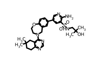 CC(C)(O)CNS(=O)(=O)c1cc(-c2ccc3c(c2)CN(c2ncnc4c2CC(C)(C)CC4)CCO3)cnc1N